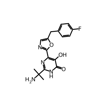 CC(C)(N)c1nc(-c2ncc(Cc3ccc(F)cc3)o2)c(O)c(=O)[nH]1